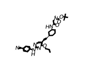 CCCOc1nc(Nc2ccc(C#N)cc2)ncc1C#C[C@@H]1CCC[C@H](NC(=O)CN(C)C(=O)OC(C)(C)C)C1